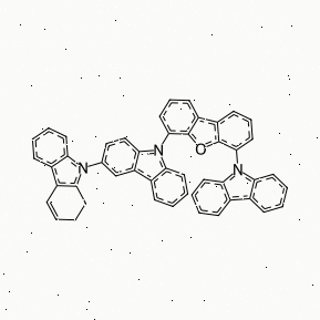 C1=Cc2c(n(-c3ccc4c(c3)c3ccccc3n4-c3cccc4c3oc3c(-n5c6ccccc6c6ccccc65)cccc34)c3ccccc23)CC1